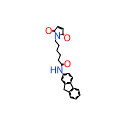 O=C(CCCCCN1C(=O)C=CC1=O)Nc1ccc2c(c1)Cc1ccccc1-2